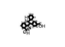 O=c1[nH]nc2c3c(cccc13)NC(c1ccccc1)C2c1ccc(CO)cc1